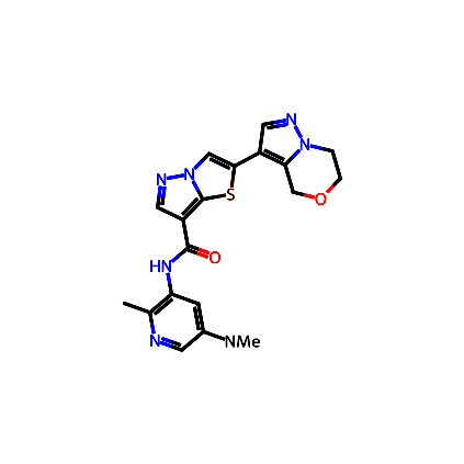 CNc1cnc(C)c(NC(=O)c2cnn3cc(-c4cnn5c4COCC5)sc23)c1